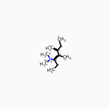 C=C(CC)/C(C)=C(/CC)N(C)C